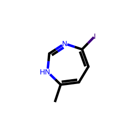 CC1=CC=C(I)N=CN1